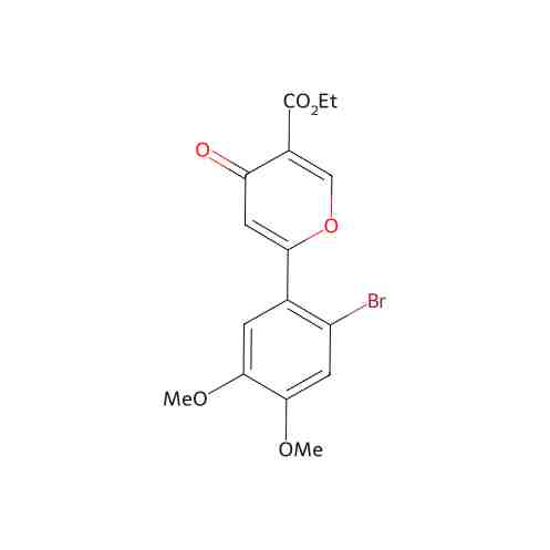 CCOC(=O)c1coc(-c2cc(OC)c(OC)cc2Br)cc1=O